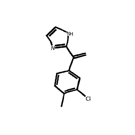 C=C(c1ccc(C)c(Cl)c1)c1ncc[nH]1